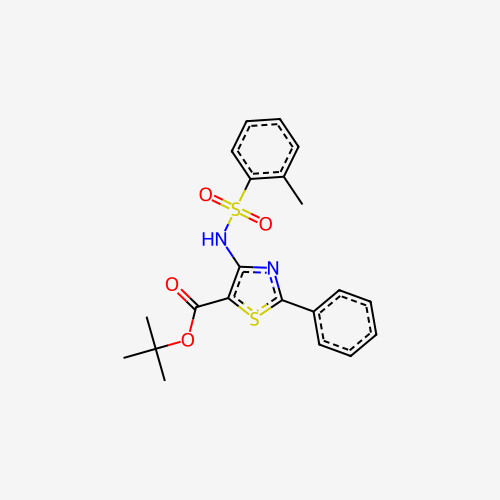 Cc1ccccc1S(=O)(=O)Nc1nc(-c2ccccc2)sc1C(=O)OC(C)(C)C